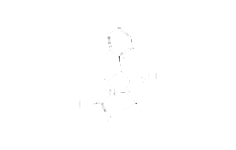 CC(C)(C)C1[C@@H](O)[C@H](c2ccccc2)CN1C(=O)O